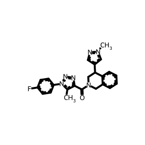 Cc1c(C(=O)N2Cc3ccccc3C(c3cnn(C)c3)C2)nnn1-c1ccc(F)cc1